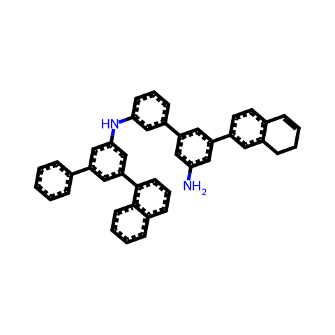 Nc1cc(-c2cccc(Nc3cc(-c4ccccc4)cc(-c4cccc5ccccc45)c3)c2)cc(-c2ccc3c(c2)CCC=C3)c1